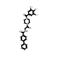 O=C(NCC(=O)N1CCN(C(=O)c2cc(F)c(F)c(F)c2)CC1)c1ccc(-c2ccccc2)cc1